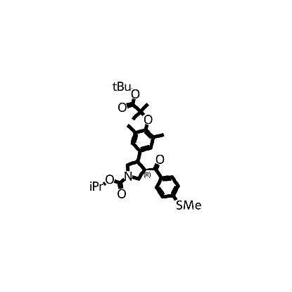 CSc1ccc(C(=O)[C@H]2CN(C(=O)OC(C)C)CC2c2cc(C)c(OC(C)(C)C(=O)OC(C)(C)C)c(C)c2)cc1